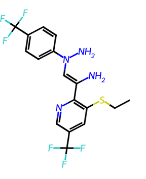 CCSc1cc(C(F)(F)F)cnc1/C(N)=C/N(N)c1ccc(C(F)(F)F)cc1